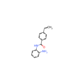 C=Cc1ccc(C(=O)Nc2ccccc2N)cc1